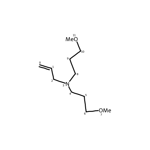 C=CCN(CCCOC)CCCOC